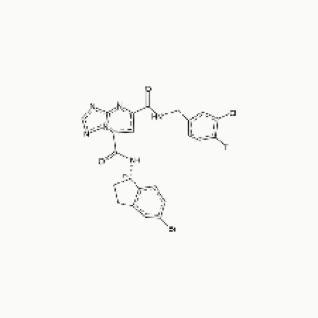 O=C(NCc1ccc(F)c(Cl)c1)c1cc(C(=O)N[C@H]2CCc3cc(Br)ccc32)n2ncnc2n1